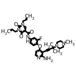 C=CCn1cc(C(=O)Nc2ccc(Oc3ccnc(N)c3C#CC(C)(C)N3CCN(C)CC3)c(F)c2)c(=O)n(CC=C)c1=O